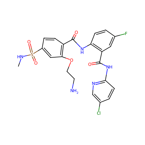 CNS(=O)(=O)c1ccc(C(=O)Nc2ccc(F)cc2C(=O)Nc2ccc(Cl)cn2)c(OCCN)c1